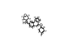 Fc1ccc(Oc2cc3cnc(NC4CCOCC4)nc3n3ccnc23)cc1